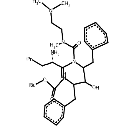 CC(C)C[C@H](N)C(=O)N(C(=O)N(C)CCN(C)C)C(Cc1ccccc1)C(O)C(Cc1ccccc1)NC(=O)OC(C)(C)C